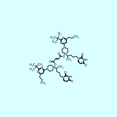 CCCc1cc(N2CC[N+](OC(=O)/C=C/C(=O)O[N+]3(C(C)CCCn4ccc(=O)[nH]c4=O)CCN(c4cc(CCC)nc(C(C)(C)C)n4)CC3)(C(C)CCCn3ccc(=O)[nH]c3=O)CC2)nc(C(C)(C)C)n1